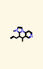 C=CCC1C(C)c2cnccc2N2C=CN(C)C12